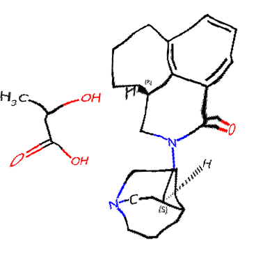 CC(O)C(=O)O.O=C1c2cccc3c2[C@@H](CCC3)CN1[C@@H]1CN2CCC1CC2